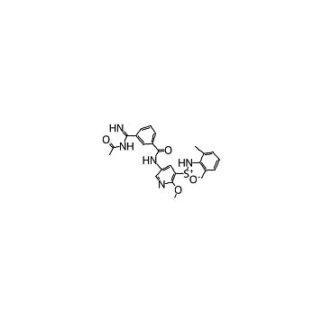 COc1ncc(NC(=O)c2cccc(C(=N)NC(C)=O)c2)cc1[S+]([O-])Nc1c(C)cccc1C